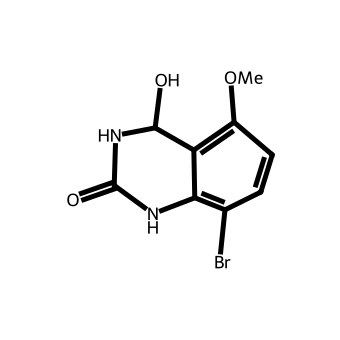 COc1ccc(Br)c2c1C(O)NC(=O)N2